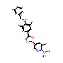 CCN(CC)c1ncc(-c2nnc(-c3cc(C)c(OCc4ccccc4)c(C)c3)o2)cc1C